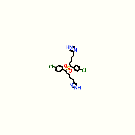 O=S(=O)(C(CCCCc1c[nH]cn1)c1ccc(Cl)cc1)C(CCCCc1c[nH]cn1)c1ccc(Cl)cc1